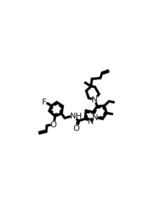 C=CCCC1(C)CCN(c2c(CC)c(C)cn3nc(C(=O)NCc4ccc(F)cc4OCC=C)cc23)CC1